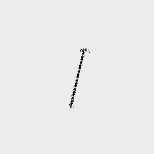 CCOCCOCCOCCOCCOCCOCCOCCOCCOCCOCCOCCOCCC(N)=O